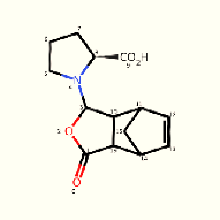 O=C1OC(N2CCC[C@H]2C(=O)O)C2C3C=CC(C3)C12